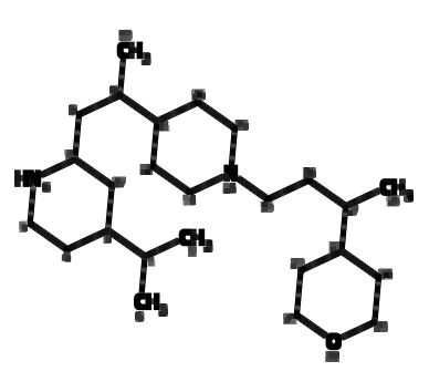 CC(C)C1CCNC(CC(C)C2CCN(CCC(C)C3CCOCC3)CC2)C1